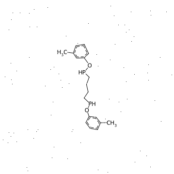 Cc1cccc(OPCCCCPOc2cccc(C)c2)c1